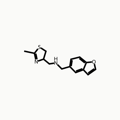 CC1=NC(CNCc2ccc3occc3c2)CS1